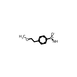 COCCc1ccc([N+](=N)[O-])cc1